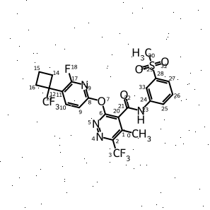 Cc1c(C(F)(F)F)nnc(Oc2ccc(C3(C(F)(F)F)CCC3)c(F)n2)c1C(=O)Nc1cccc(S(C)(=O)=O)c1